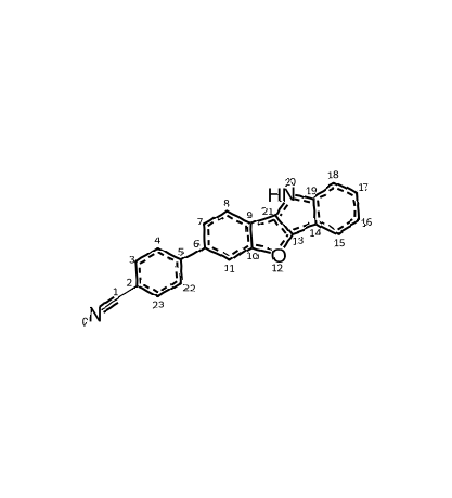 N#Cc1ccc(-c2ccc3c(c2)oc2c4ccccc4[nH]c32)cc1